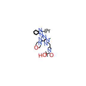 CC(C)c1nc2ccccc2n1-c1nc(N2CCOCC2)c2nc(CC3CN(C(=O)C(C)(C)O)C3)n(C)c2n1